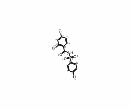 O=C(NS(=O)(=O)c1ccc(Cl)cc1)c1ccc(Cl)cc1Br